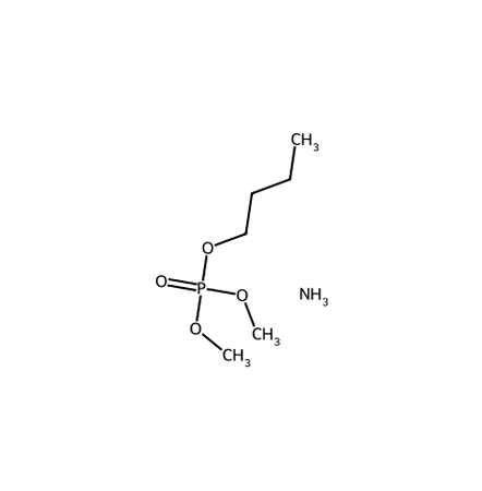 CCCCOP(=O)(OC)OC.N